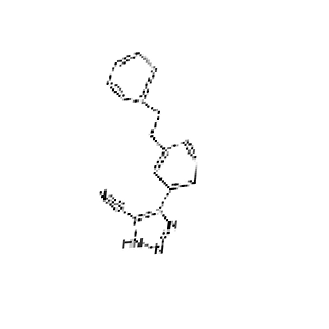 N#Cc1[nH]nnc1-c1cccc(CCc2ccccc2)c1